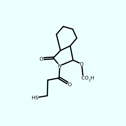 O=C(O)OC1C2CCCCC2C(=O)N1C(=O)CCS